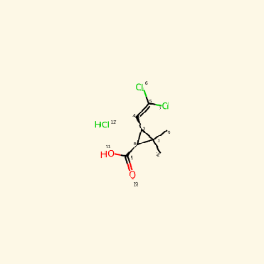 CC1(C)[C@H](C=C(Cl)Cl)[C@@H]1C(=O)O.Cl